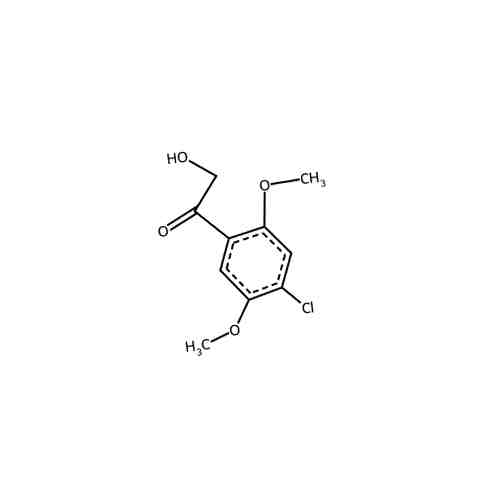 COc1cc(C(=O)CO)c(OC)cc1Cl